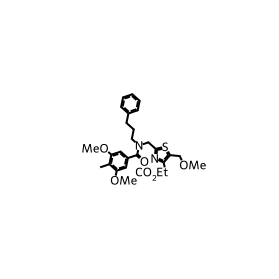 CCOC(=O)c1nc(CN(CCCc2ccccc2)C(=O)c2cc(OC)c(C)c(OC)c2)sc1COC